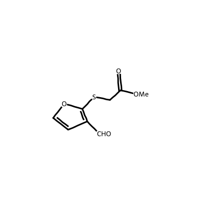 COC(=O)CSc1occc1C=O